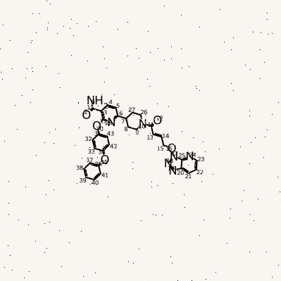 NC(=O)c1ccc(C2CCN(C(=O)C=CCOn3nnc4cccnc43)CC2)nc1Oc1ccc(Oc2ccccc2)cc1